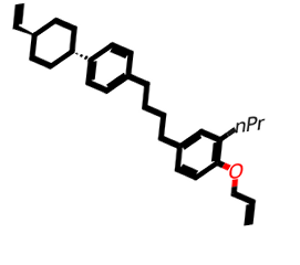 C=CCOc1ccc(CCCCc2ccc([C@H]3CC[C@H](C=C)CC3)cc2)cc1CCC